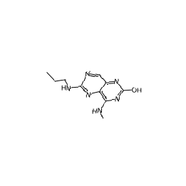 CCCNc1ncc2nc(O)nc(NC)c2n1